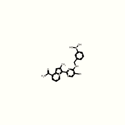 Cc1cc2c(C(N)=O)cccn2c1-c1ncc(C(C)C)c(NCc2cccc(B(O)O)c2)n1